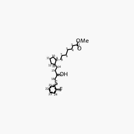 COC(=O)CCCCCC[C@H]1CCC[C@@H]1CC[C@@H](O)CSc1ccccc1F